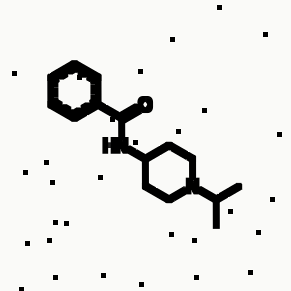 CC(C)N1CCC(NC(=O)c2ccccc2)CC1